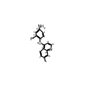 Cc1ccc2c(Oc3ccc(N)cc3F)ccnc2c1